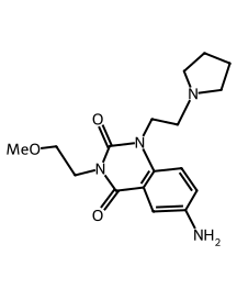 COCCn1c(=O)c2cc(N)ccc2n(CCN2CCCC2)c1=O